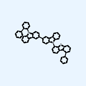 c1ccc(-c2ccccc2-n2c3ccccc3c3cc(-c4ccc5c(c4)c4ccccc4n5-c4cccc5c4sc4cccc(-c6ccccc6)c45)ccc32)cc1